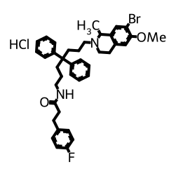 COc1cc2c(cc1Br)C(C)N(CCCC(CCCNC(=O)CCc1ccc(F)cc1)(c1ccccc1)c1ccccc1)CC2.Cl